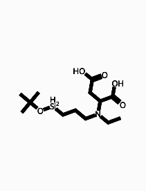 CCN(CCC[SiH2]OC(C)(C)C)C(CC(=O)O)C(=O)O